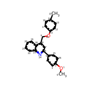 COc1ccc(-c2cc(COc3ccc(C)cc3)c3ccccc3n2)cc1